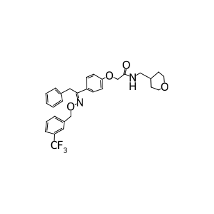 O=C(COc1ccc(C(Cc2ccccc2)=NOCc2cccc(C(F)(F)F)c2)cc1)NCC1CCOCC1